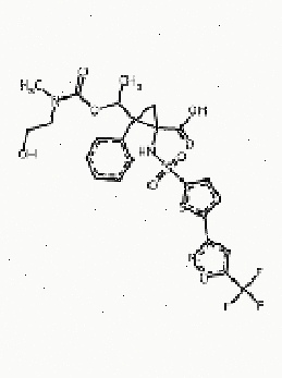 CC(OC(=O)N(C)CCO)C1(c2ccccc2)CC1(NS(=O)(=O)c1ccc(-c2cc(C(F)(F)F)on2)s1)C(=O)O